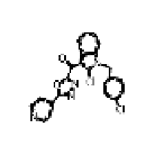 O=C(c1nnc(-c2ccncc2)o1)c1c(Cl)n(Cc2ccc(Cl)cc2)c2ccccc12